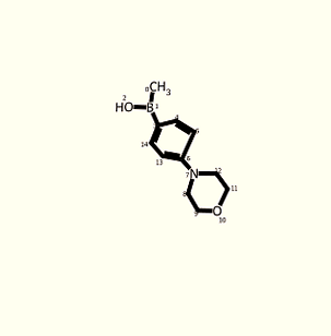 CB(O)c1ccc(N2CCOCC2)cc1